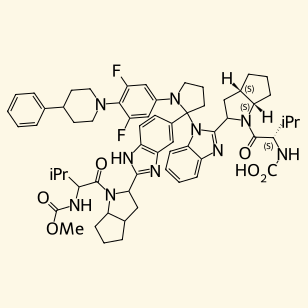 COC(=O)NC(C(=O)N1C(c2nc3cc(C4(n5c(C6C[C@@H]7CCC[C@@H]7N6C(=O)[C@@H](NC(=O)O)C(C)C)nc6ccccc65)CCCN4c4cc(F)c(N5CCC(c6ccccc6)CC5)c(F)c4)ccc3[nH]2)CC2CCCC21)C(C)C